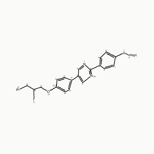 CCCCCCCOc1ccc(-c2ncc(-c3ccc(OCC(F)CC(C)C)cc3)cn2)cc1